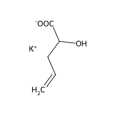 C=CCC(O)C(=O)[O-].[K+]